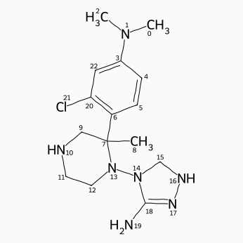 CN(C)c1ccc(C2(C)CNCCN2N2CNN=C2N)c(Cl)c1